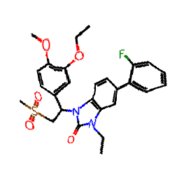 CCOc1cc(C(CS(C)(=O)=O)n2c(=O)n(CC)c3cc(-c4ccccc4F)ccc32)ccc1OC